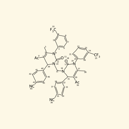 CC(=O)C1=C(C)N(c2cccc(C(F)(F)F)c2)C(=O)N(CN2C(=O)N(c3cccc(C(F)(F)F)c3)C(C)=C(C(C)=O)C2c2ccc(C#N)cc2)C1c1ccc(C#N)cc1